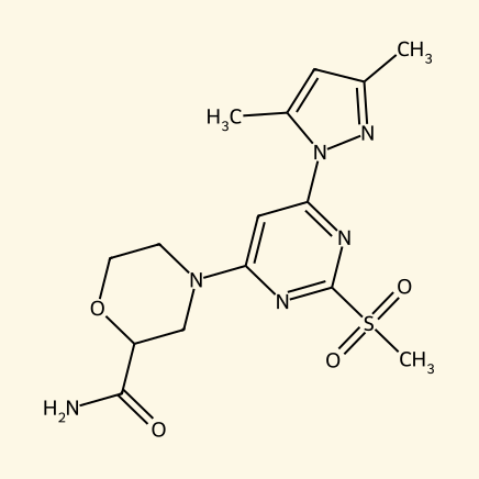 Cc1cc(C)n(-c2cc(N3CCOC(C(N)=O)C3)nc(S(C)(=O)=O)n2)n1